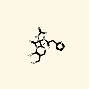 CC(=O)OCC1=C(C(=O)O)N2C(=O)[C@](NC(=O)Cl)(NC(=O)Cc3cccs3)[C@H]2SC1